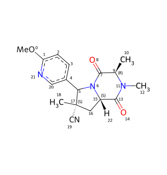 COc1ccc(C2N3C(=O)[C@@H](C)N(C)C(=O)[C@@H]3C[C@]2(C)C#N)cn1